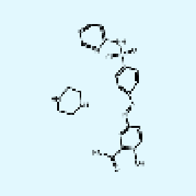 C1CNCCN1.O=C(O)c1cc(N=Nc2ccc(S(=O)(=O)Nc3ccccn3)cc2)ccc1O